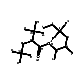 CCC(F)(F)CC(C)C(C)OC(=O)C(CC(C)(C)C)C(C)(C)C